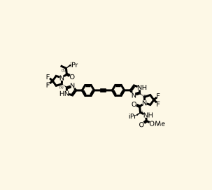 COC(=O)N[C@H](C(=O)N1CC(F)(F)C[C@H]1c1nc(-c2ccc(C#Cc3ccc(-c4c[nH]c([C@@H]5CC(F)(F)CN5C(=O)[C@@H](C)C(C)C)n4)cc3)cc2)c[nH]1)C(C)C